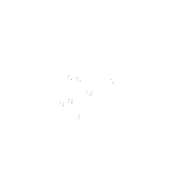 Cc1ccc(N=Nc2cnn(Cc3cc[n+](C)cc3)c2N)c(Cl)c1.[Cl-]